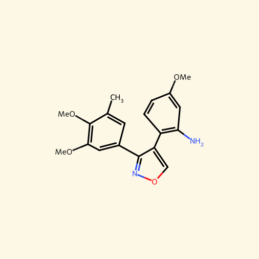 COc1ccc(-c2conc2-c2cc(C)c(OC)c(OC)c2)c(N)c1